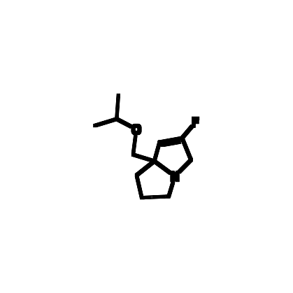 CC(C)OCC12C=C(F)CN1CCC2